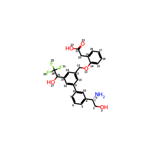 N[C@H](CO)c1cccc(-c2cc(COc3ccccc3CC(=O)O)cc(C(O)C(F)(F)F)c2)c1